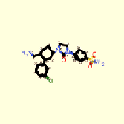 NCC1CCC(N2CCN(c3ccc(S(N)(=O)=O)cc3)C2=O)CC1c1cccc(Cl)c1